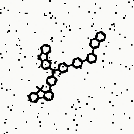 CC1(C)c2ccccc2-c2cccc(-c3ccc(N(c4ccc(-c5ccc(-c6cccc(-c7ccc8ccccc8c7)c6)cc5)cc4)c4ccc5sc6ccccc6c5c4)cc3)c21